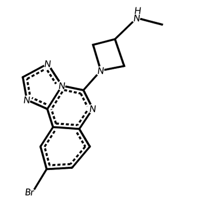 CNC1CN(c2nc3ccc(Br)cc3c3ncnn23)C1